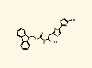 N#Cc1csc(-c2csc(CC(NC(=O)OCC3c4ccccc4-c4ccccc43)C(=O)O)n2)n1